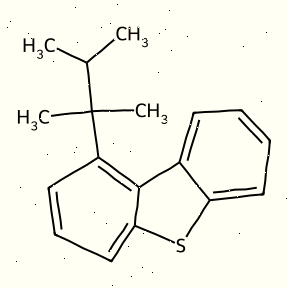 CC(C)C(C)(C)c1cccc2sc3ccccc3c12